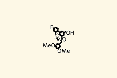 COc1cc(CN2C[C@@H](C)Oc3c(cc(CO)cc3-c3ccc(F)cc3C)C2=O)cc(OC)c1